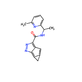 Cc1cccc(C(C)NC(=O)C2=C3C=C4CC4=C3N=N2)n1